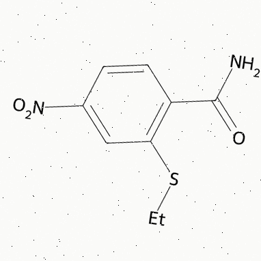 CCSc1cc([N+](=O)[O-])ccc1C(N)=O